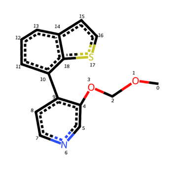 COCOc1cnccc1-c1cccc2ccsc12